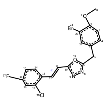 COc1ccc(Cc2nnc(/C=C/c3ccc(F)cc3Cl)o2)cc1Br